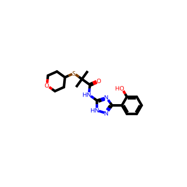 CC(C)(SC1CCOCC1)C(=O)Nc1nc(-c2ccccc2O)n[nH]1